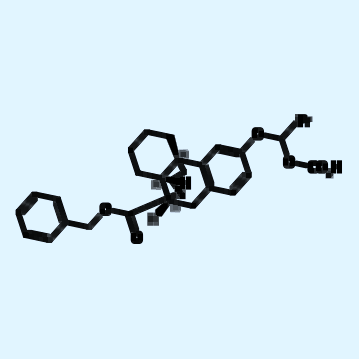 CC(C)C(OC(=O)O)Oc1ccc2c(c1)[C@@]13CCCC[C@H]1[C@@H](C2)N(C(=O)OCc1ccccc1)CC3